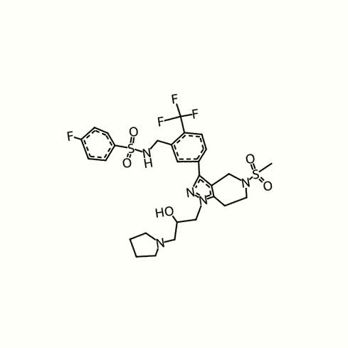 CS(=O)(=O)N1CCc2c(c(-c3ccc(C(F)(F)F)c(CNS(=O)(=O)c4ccc(F)cc4)c3)nn2CC(O)CN2CCCC2)C1